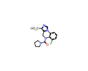 O=C(O)c1ncn2c1CN(C(=O)N1CCCC1)c1c(F)cccc1-2